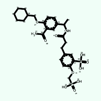 CC(NC(=O)CCc1ccc(OCP(=O)(O)O)c(P(=O)(O)O)c1)c1ccc(OCC2CCCCC2)c(C(N)=O)c1